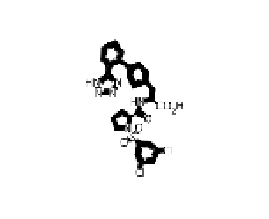 O=C(O)[C@H](Cc1ccc(-c2ccccc2-c2nnn[nH]2)cc1)NC(=O)[C@@H]1CCCN1S(=O)(=O)c1cc(Cl)cc(Cl)c1